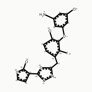 Nc1cc(Cl)cc(Oc2c(Cl)ccc(Cc3nnc(-c4ccoc4Cl)o3)c2F)c1